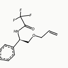 C=CCOC[C@H](NC(=O)C(F)(F)F)c1ccccc1